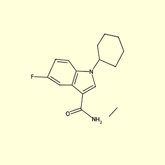 CC.NC(=O)c1cn(C2CCCCC2)c2ccc(F)cc12